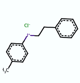 Cc1ccc([I+]CCc2ccccc2)cc1.[Cl-]